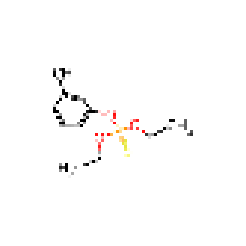 CCOP(=S)(OCC)Oc1cccc(C)c1